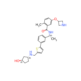 Cc1ccc(OC2CNC2)cc1C(=O)N[C@H](C)c1cccc(-c2ccc(CN[C@@H]3CC[C@@H](O)C3)s2)c1